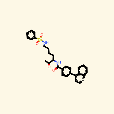 CC(=O)C(CCCCNS(=O)(=O)c1ccccc1)NC(=O)c1ccc(-c2cccc3ccccc23)cc1